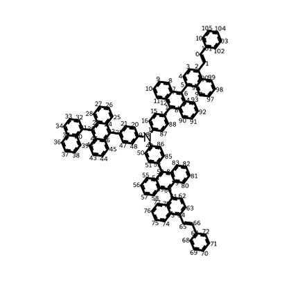 C(=C\c1ccc(-c2c3ccccc3c(-c3ccc(N(c4ccc(-c5c6ccccc6c(-c6cccc7ccccc67)c6ccccc56)cc4)c4ccc(-c5c6ccccc6c(-c6ccc(/C=C/c7ccccc7)c7ccccc67)c6ccccc56)cc4)cc3)c3ccccc23)c2ccccc12)/c1ccccc1